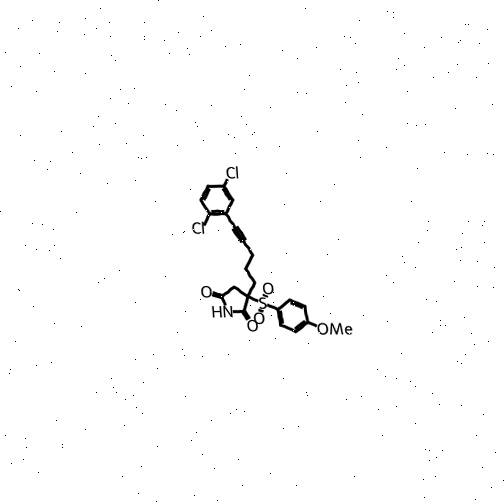 COc1ccc(S(=O)(=O)C2(CCCC#Cc3cc(Cl)ccc3Cl)CC(=O)NC2=O)cc1